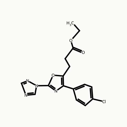 CCOC(=O)CCc1oc(-n2cncn2)nc1-c1ccc(Cl)cc1